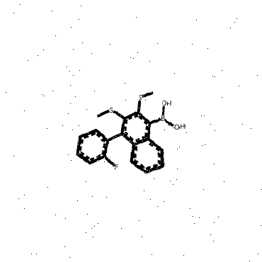 CSc1c(SC)c(-c2ccccc2F)c2ccccc2c1B(O)O